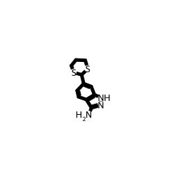 Nc1n[nH]c2cc(C3SCCCS3)ccc12